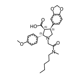 CCCCCN(C)C(=O)CN1C[C@H](c2ccc3c(c2)OCO3)[C@H](C(=O)O)[C@H]1c1ccc(OC)cc1